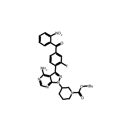 CC(C)(C)OC(=O)N1CCCC(n2nc(-c3ccc(C(=O)c4ccccc4[N+](=O)[O-])cc3F)c3c(N)ncnc32)C1